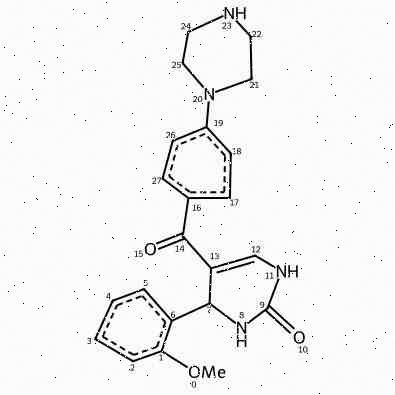 COc1ccccc1C1NC(=O)NC=C1C(=O)c1ccc(N2CCNCC2)cc1